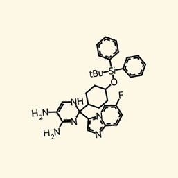 CC(C)(C)[Si](OC1CCC(C2(c3cnc4ccc(F)cn34)N=C(N)C(N)=CN2)CC1)(c1ccccc1)c1ccccc1